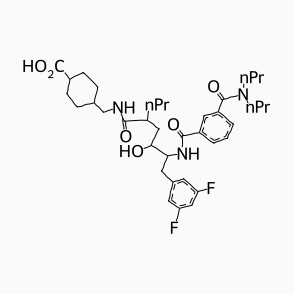 CCCC(CC(O)C(Cc1cc(F)cc(F)c1)NC(=O)c1cccc(C(=O)N(CCC)CCC)c1)C(=O)NCC1CCC(C(=O)O)CC1